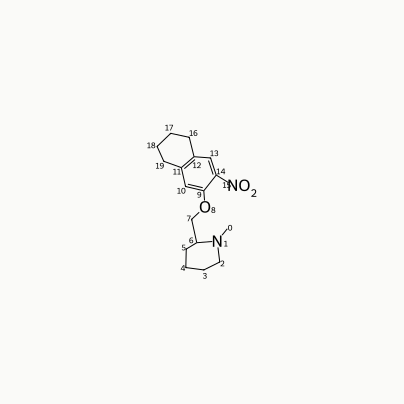 CN1CCCCC1COc1cc2c(cc1[N+](=O)[O-])CCCC2